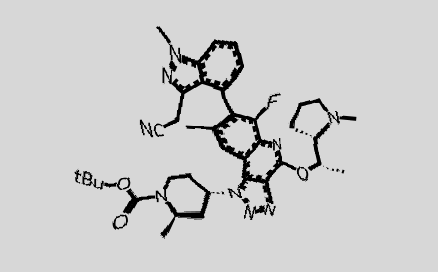 Cc1cc2c(nc(O[C@@H](C)[C@@H]3CCCN3C)c3nnn([C@H]4CCN(C(=O)OC(C)(C)C)[C@H](C)C4)c32)c(F)c1-c1cccc2c1c(CC#N)nn2C